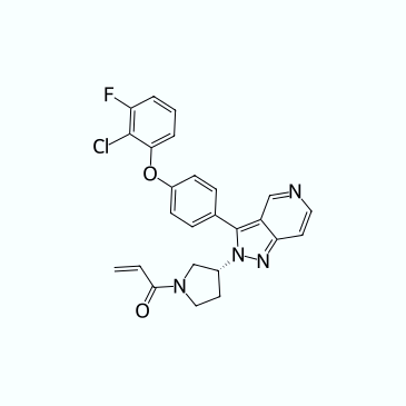 C=CC(=O)N1CC[C@@H](n2nc3ccncc3c2-c2ccc(Oc3cccc(F)c3Cl)cc2)C1